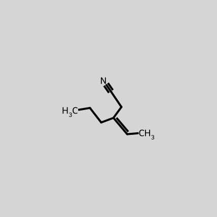 CC=C(CC#N)CCC